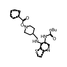 CCCCC(=O)Nc1cnc2ccsc2c1NCC1CCN(OC(=O)c2ccccc2)CC1